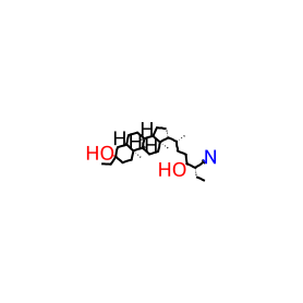 CC[C@@H](C#N)[C@@H](O)CC[C@@H](C)[C@H]1CC[C@H]2[C@@H]3CC[C@H]4C[C@](O)(CC)CC[C@]4(C)[C@H]3CC[C@]12C